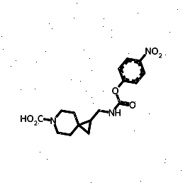 O=C(NCC1CC12CCN(C(=O)O)CC2)Oc1ccc([N+](=O)[O-])cc1